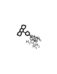 CC(C)(P)C(C)(C)OBc1ccc(-c2c3ccccc3cc3ccccc23)cc1